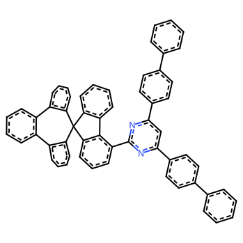 c1ccc(-c2ccc(-c3cc(-c4ccc(-c5ccccc5)cc4)nc(-c4cccc5c4-c4ccccc4C54c5ccccc5-c5ccccc5-c5ccccc54)n3)cc2)cc1